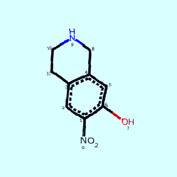 O=[N+]([O-])c1cc2c(cc1O)CNCC2